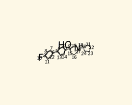 OC1(c2ccc(-c3ccc(F)cc3)cc2)CCCN(CC2CCCC2)C1